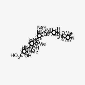 CO/C(C(=O)Nc1ccc(C(=O)N[C@@H](CC#N)C(=O)Nc2ccc(C(=O)Nc3ccc(C(=O)Nc4ccc(C(=O)O)c(O)c4OC)c(O)c3OC)cc2)cc1)=C(/C)c1ccc(F)cc1